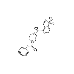 O=C(Cc1ccccc1)N1CCN(C(=O)c2cccc3c2C=CS3(=O)=O)CC1